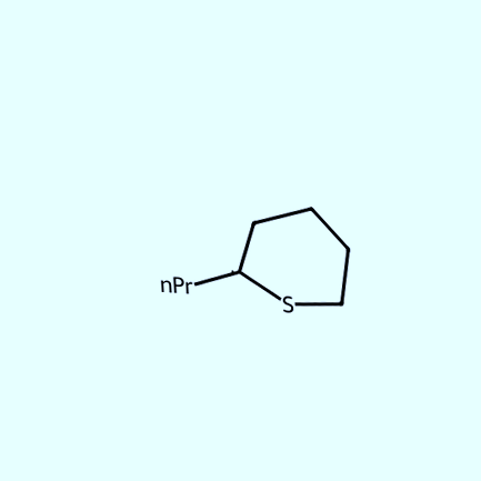 CCC[C]1CCCCS1